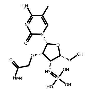 CNC(=O)CO[C@H]1[C@@H]([SH]=P(O)(O)O)[C@@H](CO)O[C@H]1n1cc(C)c(N)nc1=O